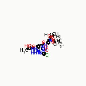 CC(C)CC(CO)NC(=O)Nc1ccc(CC(C(=O)Nc2ccc3c(c2)cc(C(=O)OC(C)(C)C)n3C(=O)OC(C)(C)C)N2CCN(c3cc(Cl)ccc3-n3cnnn3)C(=O)C2=O)cc1